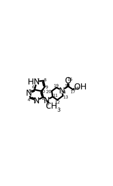 CN(c1ncnc2[nH]ccc12)C1CCN(C(=O)CO)CC1